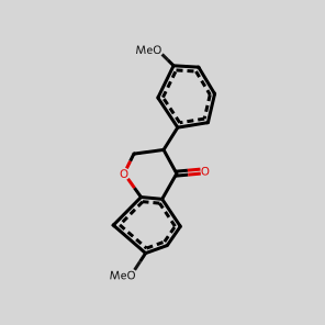 COc1cccc(C2COc3cc(OC)ccc3C2=O)c1